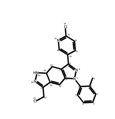 Cc1ccccc1-n1nc(-c2ccc(Cl)nc2)c2c1C=C1C(CCl)=NNC1C2